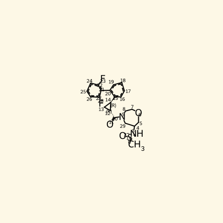 C[S+]([O-])NC1COCCN(C(=O)[C@@H]2C[C@H]2c2ccccc2-c2c(F)cccc2F)C1